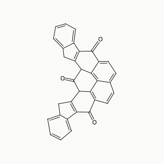 O=C1C2=C(Cc3ccccc32)C2C(=O)C3C4=C(C(=O)c5ccc6ccc1c2c6c53)c1ccccc1C4